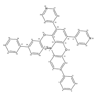 S=P12c3ccc(-c4ccccc4)cc3Oc3c(-c4ccncc4)cc(-c4ccncc4)c(c31)Oc1cc(-c3ccccc3)ccc12